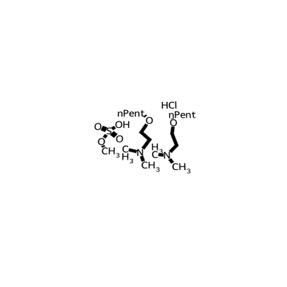 CCCCCOCCN(C)C.CCCCCOCCN(C)C.COS(=O)(=O)O.Cl